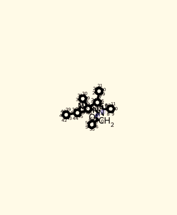 C=c1/c(=C(\N=C(/CC)c2ccccc2)n2c3ccc(-c4ccccc4)cc3c3c4c5ccccc5n5c6cc(-c7ccccc7)ccc6c(cc32)c45)oc2ccccc12